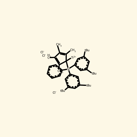 CC1=C(C)[C]([Ti+3])([Si](c2ccccc2)(c2cc(C(C)(C)C)cc(C(C)(C)C)c2)c2cc(C(C)(C)C)cc(C(C)(C)C)c2)C(C)=C1C.[Cl-].[Cl-].[Cl-]